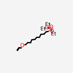 C=CCOCCCCCCCCCCC[Si](OCC)(OCC)OCC